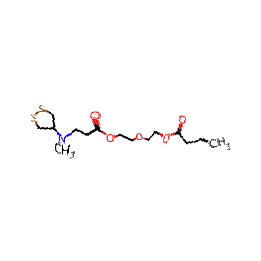 CCCC(=O)OCCOCCOC(=O)CCN(C)C1CSSC1